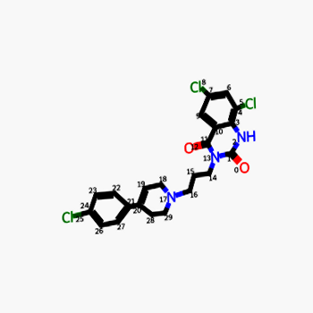 O=c1[nH]c2c(Cl)cc(Cl)cc2c(=O)n1CCCN1CC=C(c2ccc(Cl)cc2)CC1